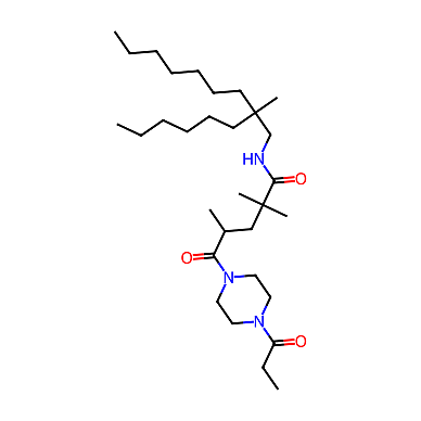 CCCCCCCC(C)(CCCCCC)CNC(=O)C(C)(C)CC(C)C(=O)N1CCN(C(=O)CC)CC1